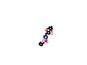 Cc1cc(C)c(C2C(=O)C/C(=C\C3CCN(C(=O)OCc4ccccc4)CC3)C2=O)c(C)c1